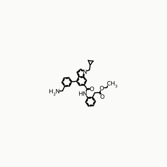 CCOC(=O)Cc1ccccc1NC(=O)c1cc(-c2cccc(CN)c2)c2ccn(CC3CC3)c2c1